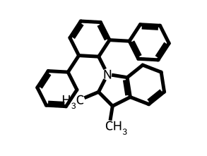 CC1C2=C(CCC=C2)N(C2C(c3ccccc3)=CC=CC2C2C=CC=CC2)C1C